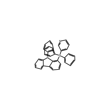 c1ccc(-n2c3ccccc3c3cccc([Si](c4ccccc4)(c4ccccc4)c4cccnc4)c32)cc1